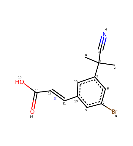 CC(C)(C#N)c1cc(Br)cc(/C=C/C(=O)O)c1